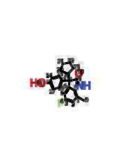 Cc1cc(F)cc2c1NC(=O)C2(c1ccc(O)cc1)C1CCCC1